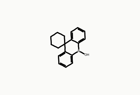 ON1c2ccccc2C2(CCCCC2)c2ccccc21